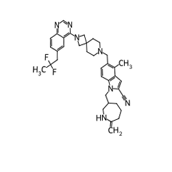 C=C1CCCC(Cn2c(C#N)cc3c(C)c(CN4CCC5(CC4)CN(c4ncnc6ccc(CC(C)(F)F)cc46)C5)ccc32)CN1